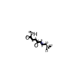 CPC(=O)CCC(=O)/C=C/CN(C)C